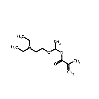 C=C(C)C(=O)OC(C)OCCN(CC)CC